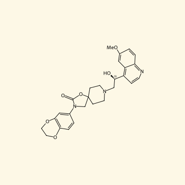 COc1ccc2nccc([C@H](O)CN3CCC4(CC3)CN(c3ccc5c(c3)OCCO5)C(=O)O4)c2c1